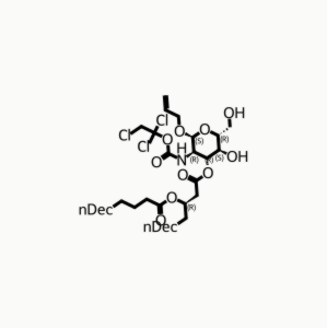 C=CCO[C@H]1O[C@H](CO)[C@@H](O)[C@H](OC(=O)C[C@@H](CCCCCCCCCCC)OC(=O)CCCCCCCCCCCCC)[C@H]1NC(=O)OC(Cl)(Cl)CCl